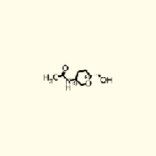 CC(=O)N[C@H]1CC[C@H](CO)OC1